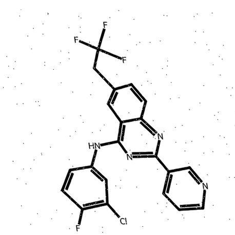 Fc1ccc(Nc2nc(-c3cccnc3)nc3ccc(CC(F)(F)F)cc23)cc1Cl